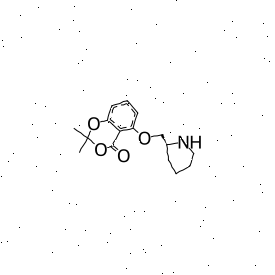 CC1(C)OC(=O)c2c(OC[C@@H]3CCCCN3)cccc2O1